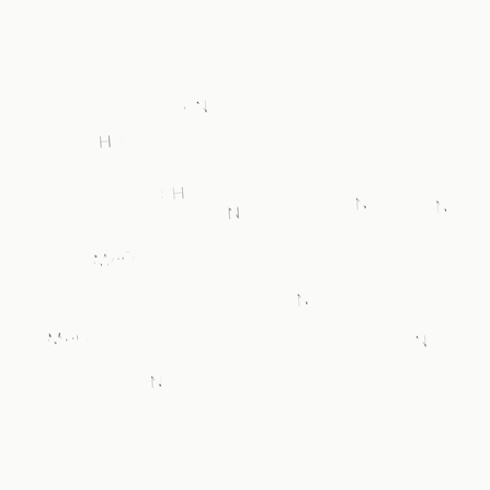 COc1cc(-c2ccc3ncc4ncn(-c5ccc(C(C)(C)C#N)nc5)c4c3n2)cnc1OC